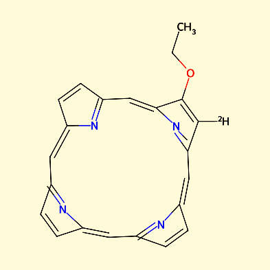 [2H]C1=C(OCC)C2=CC3=NC(=CC4=NC(=CC5=NC(=CC1=N2)C=C5)C=C4)C=C3